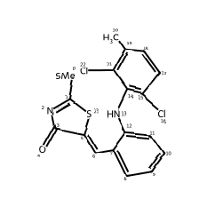 CSC1=NC(=O)C(=Cc2ccccc2Nc2c(Cl)ccc(C)c2Cl)S1